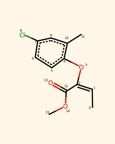 CC=C(Oc1ccc(Cl)cc1C)C(=O)OC